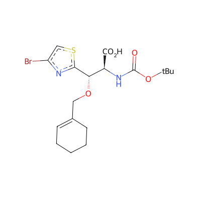 CC(C)(C)OC(=O)N[C@H](C(=O)O)[C@H](OCC1=CCCCC1)c1nc(Br)cs1